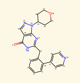 O=c1[nH]c(Cc2ccccc2-c2ccncc2)nc2c1cnn2C1CCOCC1